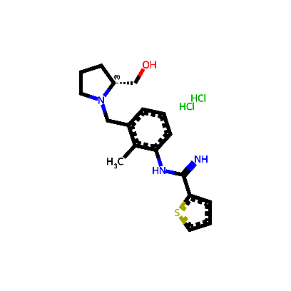 Cc1c(CN2CCC[C@@H]2CO)cccc1NC(=N)c1cccs1.Cl.Cl